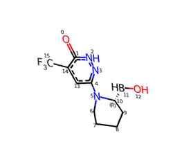 O=c1[nH]nc(N2CCCC[C@H]2BO)cc1C(F)(F)F